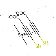 O=C([O-])C#CS.O=C([O-])C#CS.[CH3][Sn+2][CH3]